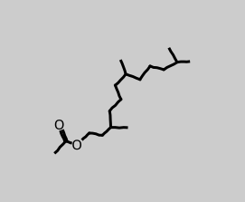 CC(=O)OCCC(C)CCCC(C)CCCC(C)C